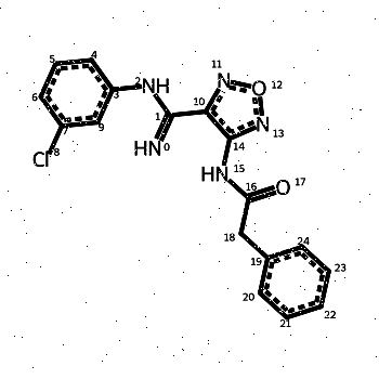 N=C(Nc1cccc(Cl)c1)c1nonc1NC(=O)Cc1ccccc1